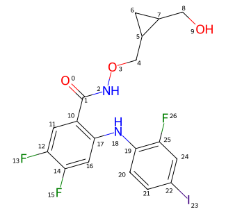 O=C(NOCC1CC1CO)c1cc(F)c(F)cc1Nc1ccc(I)cc1F